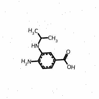 CC(C)Nc1cc(C(=O)O)ccc1N